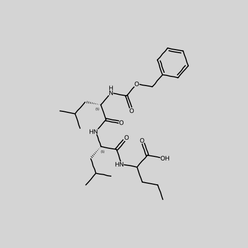 CCCC(NC(=O)[C@H](CC(C)C)NC(=O)[C@H](CC(C)C)NC(=O)OCc1ccccc1)C(=O)O